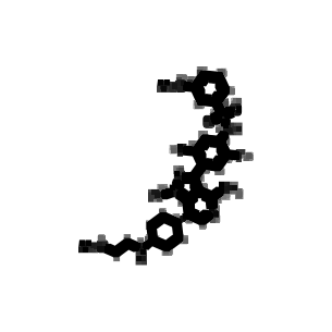 COCCN[C@H]1CC[C@H](c2cnc(N)c3c(-c4cc(F)c(NS(=O)(=O)c5cccc(OC)c5)cc4F)nn(C(C)C)c32)CC1